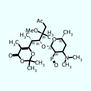 CO[C@](C)(CC(C)=O)[C@H](O[C@@H]1O[C@H](C)CC(N(C)C)[C@H]1P=O)[C@@H](C)C1=C(C)C(=O)OC(C)(C)O1